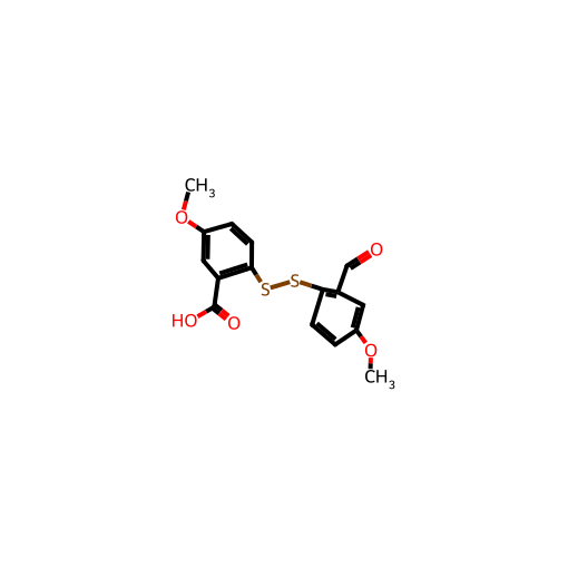 COc1ccc(SSc2ccc(OC)cc2C(=O)O)c(C=O)c1